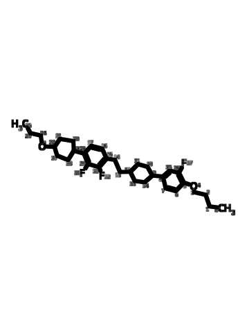 CCCCOc1ccc(C2CCC(CCc3ccc(C4CCC(OCCC)CC4)c(F)c3F)CC2)cc1F